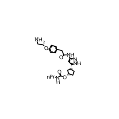 CCCNC(=O)O[C@H]1CC[C@@H](c2cc(NC(=O)Cc3ccc(OCCN)cc3)n[nH]2)C1